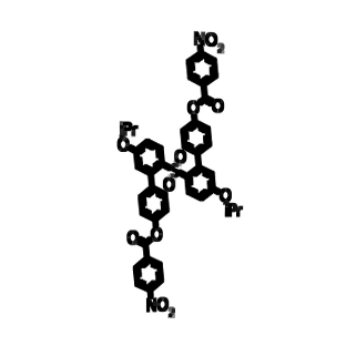 CC(C)Oc1ccc(S(=O)(=O)c2ccc(OC(C)C)cc2-c2ccc(OC(=O)c3ccc([N+](=O)[O-])cc3)cc2)c(-c2ccc(OC(=O)c3ccc([N+](=O)[O-])cc3)cc2)c1